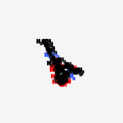 CCC1(NCc2ccc(/N=C(\N)NC/C=C(\C)CC/C=C(\C)CCC=C(C)C)cc2)C[C@H](OC2C(O)[C@H](O)C(CO)O[C@H]2Oc2c3cc4cc2Oc2ccc(cc2Cl)[C@@H](O)[C@@H]2NC(=O)[C@H](NC(=O)[C@@H]4NC(=O)C(CC(N)=O)NC(=O)[C@H](NC(=O)[C@@H](CC(C)C)NC)[C@H](O)C4=CC(C)=C(CC4)O3)c3ccc(O)c(c3)-c3c(O)cc(O)cc3[C@@H](C(=O)O)NC2=O)OC(C)[C@H]1O